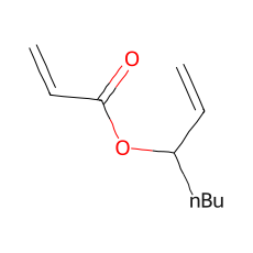 C=CC(=O)OC(C=C)CCCC